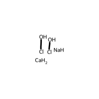 OCl.OCl.[CaH2].[NaH]